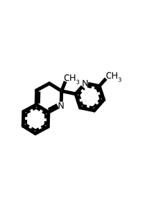 Cc1cccc(C2(C)CC=c3ccccc3=N2)n1